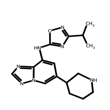 CC(C)c1noc(Nc2cc(C3CCCNC3)cn3ncnc23)n1